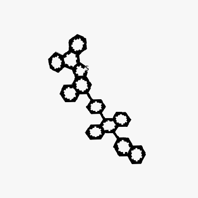 c1ccc2cc(-c3c4ccccc4c(-c4ccc(-c5cc6sc7c8ccccc8c8ccccc8c7c6c6ccccc56)cc4)c4ccccc34)ccc2c1